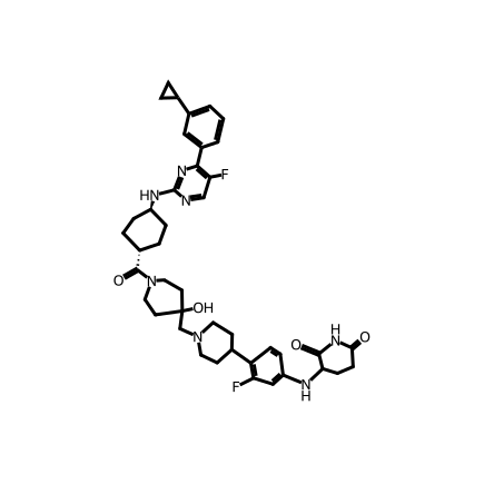 O=C1CCC(Nc2ccc(C3CCN(CC4(O)CCN(C(=O)[C@H]5CC[C@H](Nc6ncc(F)c(-c7cccc(C8CC8)c7)n6)CC5)CC4)CC3)c(F)c2)C(=O)N1